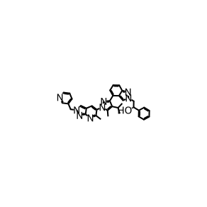 Cc1nc2nn(Cc3cccnc3)cc2cc1-n1nc(-c2cccc3nn(C[C@H](O)c4ccccc4)cc23)c(C(C)C)c1C